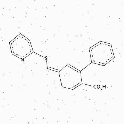 O=C(O)C1=CCC(=CSc2ccccn2)C=C1c1ccccc1